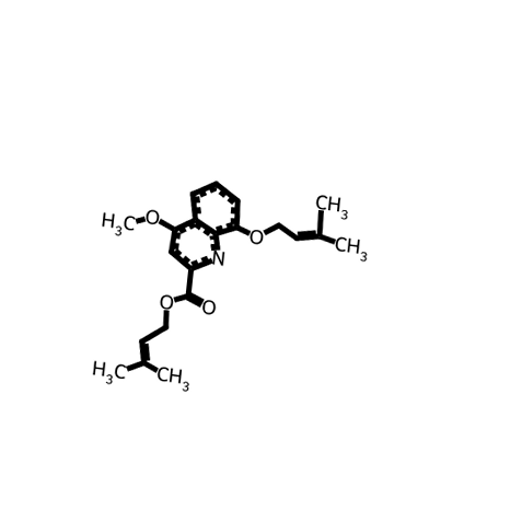 COc1cc(C(=O)OCC=C(C)C)nc2c(OCC=C(C)C)cccc12